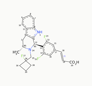 C[C@@H]1Cc2c([nH]c3ccccc23)[C@@H](c2c(F)cc(/C=C/C(=O)O)cc2F)N1CC1(F)CCC1